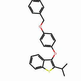 CC(C)c1sc2ccccc2c1Oc1ccc(OCc2ccccc2)cc1